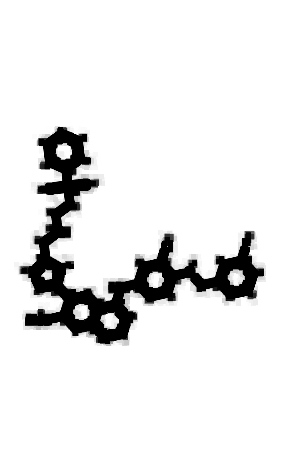 COc1cc2ncnc(Nc3ccc(OCc4cccc(F)c4)c(Cl)c3)c2cc1-c1csc(CNCCS(=O)(=O)c2ccccc2)n1